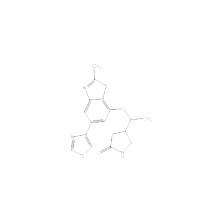 Cc1nc2cc(-c3cscn3)cc(OC(C)C3CNC(=O)C3)c2s1